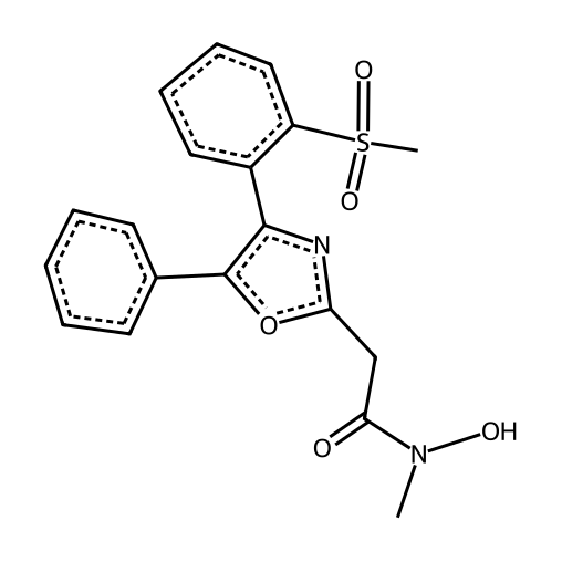 CN(O)C(=O)Cc1nc(-c2ccccc2S(C)(=O)=O)c(-c2ccccc2)o1